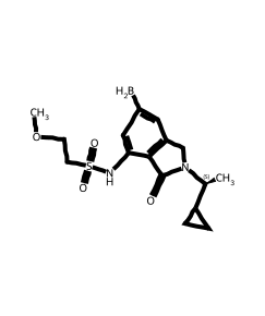 Bc1cc2c(c(NS(=O)(=O)CCOC)c1)C(=O)N([C@@H](C)C1CC1)C2